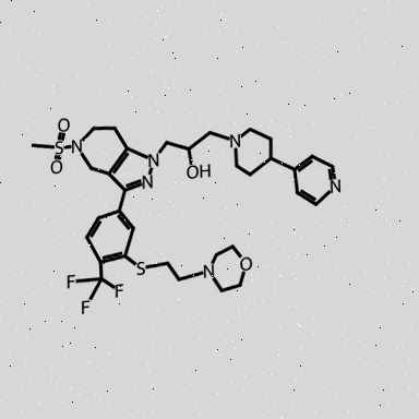 CS(=O)(=O)N1CCc2c(c(-c3ccc(C(F)(F)F)c(SCCN4CCOCC4)c3)nn2CC(O)CN2CCC(c3ccncc3)CC2)C1